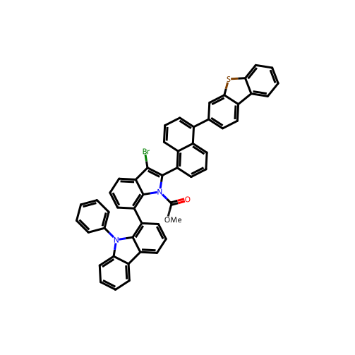 COC(=O)n1c(-c2cccc3c(-c4ccc5c(c4)sc4ccccc45)cccc23)c(Br)c2cccc(-c3cccc4c5ccccc5n(-c5ccccc5)c34)c21